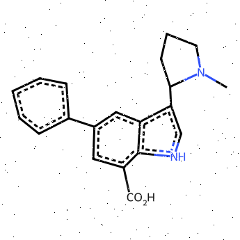 CN1CCCC1c1c[nH]c2c(C(=O)O)cc(-c3ccccc3)cc12